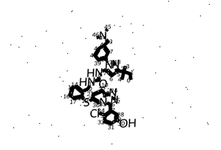 CCC(C)(C)c1cc(NC(=O)NCc2ccccc2Sc2ccc3nnc(-c4cc(O)ccc4Cl)n3c2)n(-c2cccc(CN(C)C)c2)n1